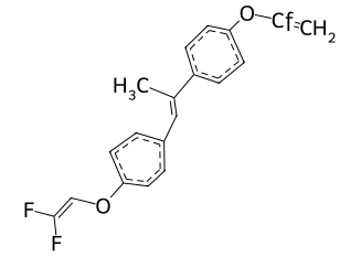 [CH2]=[Cf][O]c1ccc(C(C)=Cc2ccc(OC=C(F)F)cc2)cc1